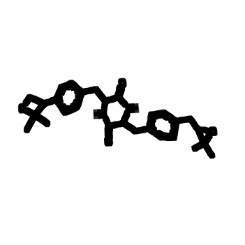 CC1(C)OC1Cc1ccc(CC2NC(=O)C(Cc3ccc(C4COC4(C)C)cc3)NC2=O)cc1